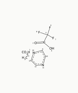 CC(=O)O.O=C(O)C(F)(F)F.c1cnccn1